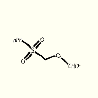 CCCS(=O)(=O)CO[C]=O